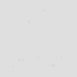 CCNC(=O)c1cc2c(=O)n(C)cc(-c3cc(C(C)(C)O)ccc3Oc3c(C)cccc3C)c2o1